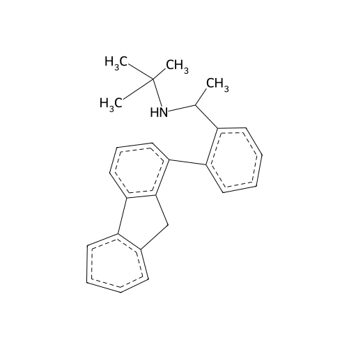 CC(NC(C)(C)C)c1ccccc1-c1cccc2c1Cc1ccccc1-2